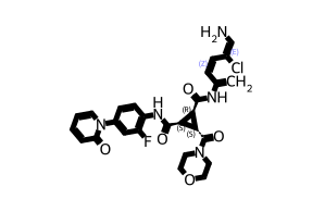 C=C(/C=C\C(Cl)=C/N)NC(=O)[C@@H]1[C@H](C(=O)Nc2ccc(-n3ccccc3=O)cc2F)[C@H]1C(=O)N1CCOCC1